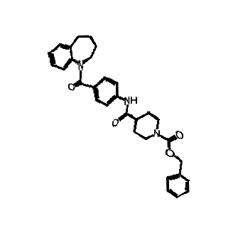 O=C(Nc1ccc(C(=O)N2CCCCc3ccccc32)cc1)C1CCN(C(=O)OCc2ccccc2)CC1